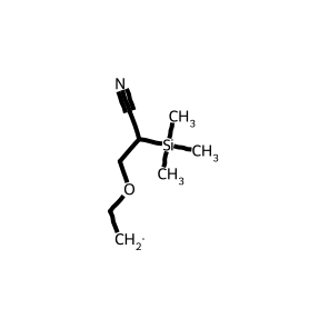 [CH2]COCC(C#N)[Si](C)(C)C